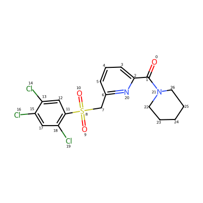 O=C(c1cccc(CS(=O)(=O)c2cc(Cl)c(Cl)cc2Cl)n1)N1CCCCC1